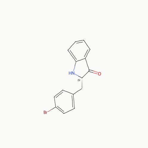 O=C1c2ccccc2N[C@H]1Cc1ccc(Br)cc1